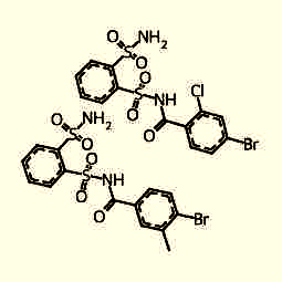 Cc1cc(C(=O)NS(=O)(=O)c2ccccc2S(N)(=O)=O)ccc1Br.NS(=O)(=O)c1ccccc1S(=O)(=O)NC(=O)c1ccc(Br)cc1Cl